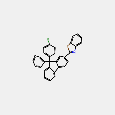 Fc1ccc(C2(c3ccccc3)c3ccccc3-c3ccc(-c4nc5ccccc5s4)cc32)cc1